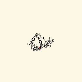 CN(CCN(C)CC1CCC(n2cc(NC(=O)c3cnn4ccc(N5C[C@H]6C[C@@H]5CO6)nc34)c(C(F)F)n2)CC1)Cc1ccc(COc2cccc3c2C(=O)N(C2CCC(=O)NC2=O)C3=O)cc1